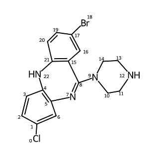 Clc1ccc2c(c1)N=C(N1CCNCC1)c1cc(Br)ccc1N2